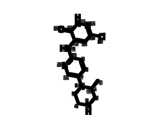 C[C@H]1CNCCN1c1ccc(Nc2cc(Cl)n[nH]c2=O)nc1